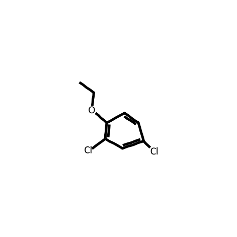 CCOc1ccc(Cl)cc1Cl